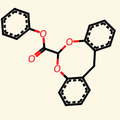 O=C(Oc1ccccc1)C1Oc2ccccc2Cc2ccccc2O1